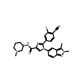 Cc1c2cc(-n3cc(C(=O)N[C@@H]4CCCN(C)C4)nc3-c3ccc(C#N)c(F)c3)ccc2nn1C